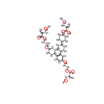 C=C(COC)C(=O)OCCOc1ccc(C2CCC(OCCOC(=O)C(=C)COC)CC2)c(C2CCC(C3CCC(OC(=O)C(=C)COC)CC3)CC2)c1